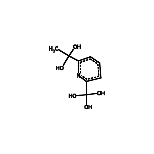 CC(O)(O)c1cccc(C(O)(O)O)n1